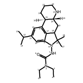 CCN(CC)C(=O)NN1c2cc(C(C)C)cc3c2C(C[C@H]2NCCC[C@H]32)C1(C)C